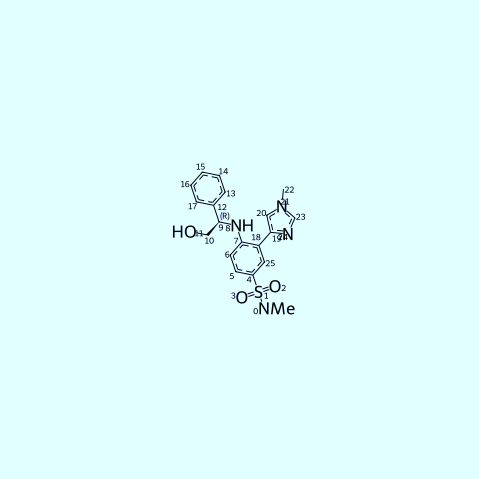 CNS(=O)(=O)c1ccc(N[C@@H](CO)c2ccccc2)c(-c2cn(C)cn2)c1